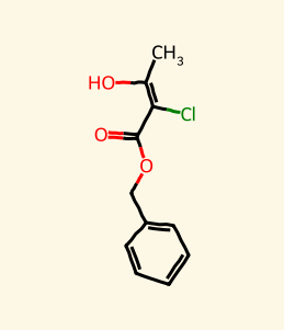 C/C(O)=C(\Cl)C(=O)OCc1ccccc1